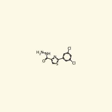 NNC(=O)c1csc(-c2cc(Cl)cc(Cl)c2)n1